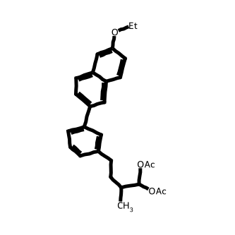 CCOc1ccc2cc(-c3cccc(CCC(C)C(OC(C)=O)OC(C)=O)c3)ccc2c1